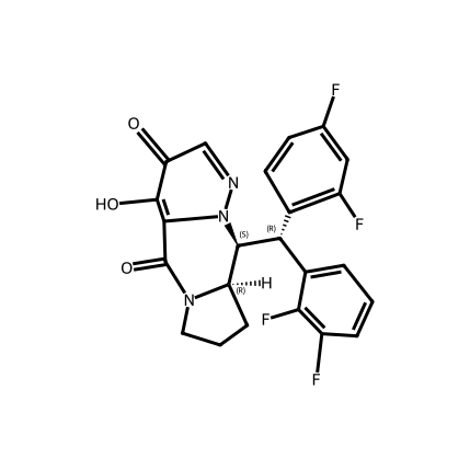 O=C1c2c(O)c(=O)cnn2[C@@H]([C@H](c2ccc(F)cc2F)c2cccc(F)c2F)[C@H]2CCCN12